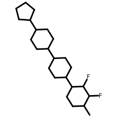 CC1CCC(C2CCC(C3CCC(C4CCCC4)CC3)CC2)C(F)C1F